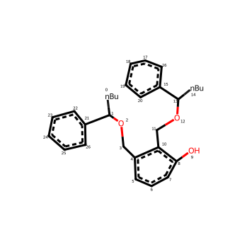 CCCCC(OCc1cccc(O)c1COC(CCCC)c1ccccc1)c1ccccc1